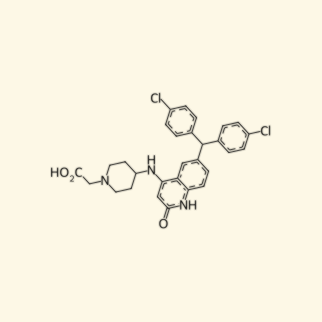 O=C(O)CN1CCC(Nc2cc(=O)[nH]c3ccc(C(c4ccc(Cl)cc4)c4ccc(Cl)cc4)cc23)CC1